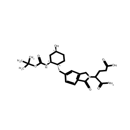 CC(C)(C)OC(=O)N[C@H]1C[C@@H](O)CC[C@@H]1Cc1ccc2c(c1)CN(C(CCC(=O)O)C(N)=O)C2=O